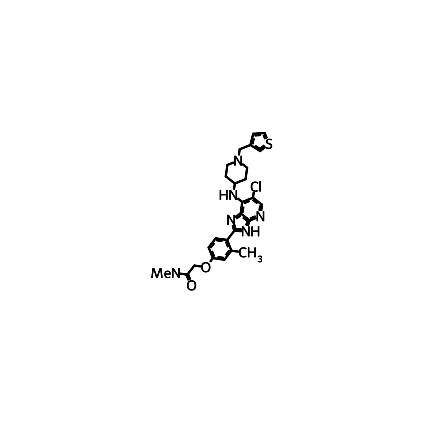 CNC(=O)COc1ccc(-c2nc3c(NC4CCN(Cc5ccsc5)CC4)c(Cl)cnc3[nH]2)c(C)c1